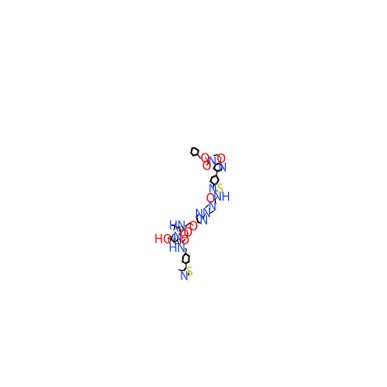 Cc1ncsc1-c1ccc(CNC(=O)[C@@H]2C[C@@H](O)CN2C(=O)[C@@H](NC(=O)COc2cnc(N3CCN(CC(=O)Nc4nc5ccc(-c6cnc7c(c6)N(C(=O)OCc6ccccc6)CCO7)cc5s4)CC3)nc2)C(C)(C)C)cc1